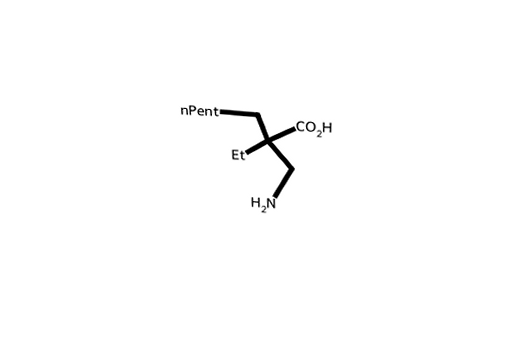 CCCCCCC(CC)(CN)C(=O)O